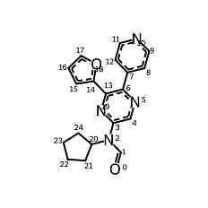 O=CN(c1cnc(-c2ccncc2)c(-c2ccco2)n1)C1CCCC1